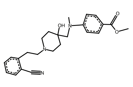 COC(=O)c1ccc(N(C)CC2(O)CCN(CCc3ccccc3C#N)CC2)cc1